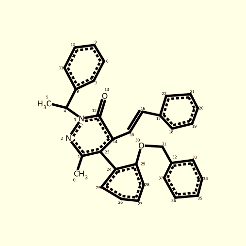 Cc1nn(C(C)c2ccccc2)c(=O)c(/C=C/c2ccccc2)c1-c1ccccc1OCc1ccccc1